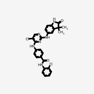 CC1(C)C(=O)Nc2ccc(Nc3ncc(Cl)c(Nc4ccc(C(=O)Nc5ccccc5Cl)cc4)n3)cc21